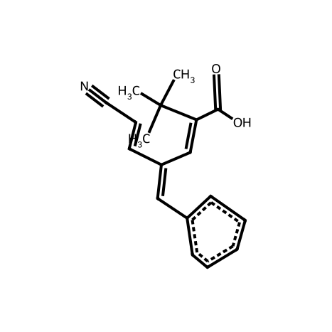 CC(C)(C)C(=CC(C=CC#N)=Cc1ccccc1)C(=O)O